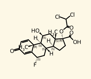 C[C@]12C=CC(=O)C=C1[C@@H](F)C[C@@H]1[C@@H]2[C@@H](O)C[C@@]2(C)[C@H]1CC[C@]2(OC(=O)C(Cl)Cl)C(=O)O